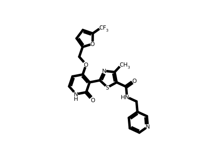 Cc1nc(-c2c(OCc3ccc(C(F)(F)F)o3)cc[nH]c2=O)sc1C(=O)NCc1cccnc1